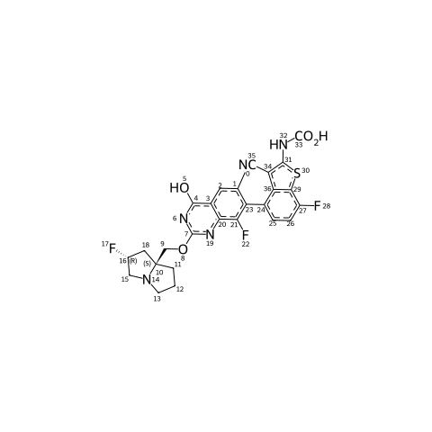 Cc1cc2c(O)nc(OC[C@@]34CCCN3C[C@H](F)C4)nc2c(F)c1-c1ccc(F)c2sc(NC(=O)O)c(C#N)c12